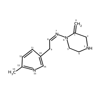 C=C1CNCCN1/N=C\Cc1ccc(C)nc1